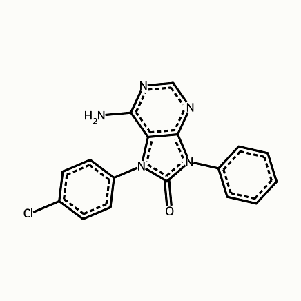 Nc1ncnc2c1n(-c1ccc(Cl)cc1)c(=O)n2-c1ccccc1